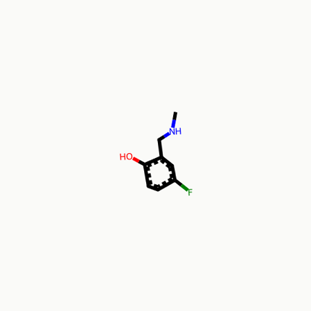 CNCc1cc(F)ccc1O